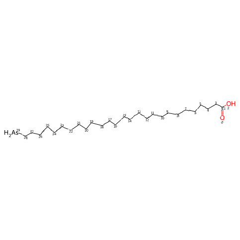 O=C(O)CCCCCCCCCCCCCCCCCCCCCCCCCC[AsH2]